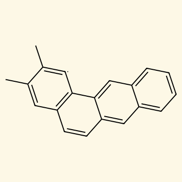 Cc1[c]c2c(ccc3cc4ccccc4cc32)cc1C